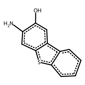 Nc1cc2sc3ccccc3c2cc1O